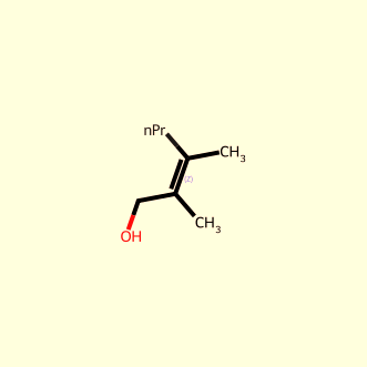 CCC/C(C)=C(/C)CO